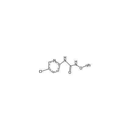 CCCONC(=O)Nc1ccc(Cl)cn1